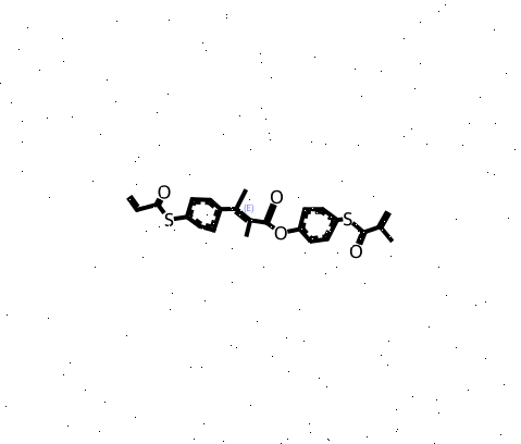 C=CC(=O)Sc1ccc(/C(C)=C(\C)C(=O)Oc2ccc(SC(=O)C(=C)C)cc2)cc1